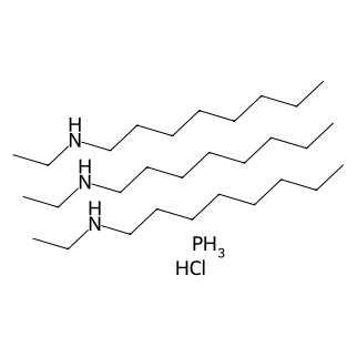 CCCCCCCCNCC.CCCCCCCCNCC.CCCCCCCCNCC.Cl.P